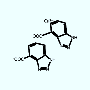 O=C([O-])c1cccc2[nH]nnc12.O=C([O-])c1cccc2[nH]nnc12.[Cu+2]